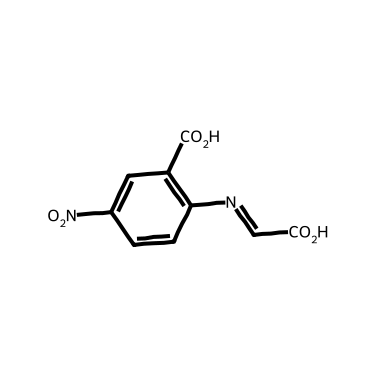 O=C(O)C=Nc1ccc([N+](=O)[O-])cc1C(=O)O